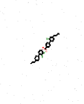 CCCCc1ccc(-c2ccc(C(=O)Oc3ccc(C4CCC(CCC)CC4)c(F)c3F)cc2)c(F)c1